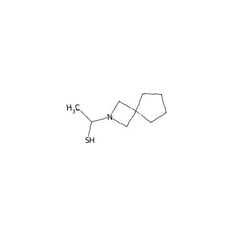 CC(S)N1CC2(CCCC2)C1